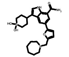 NC(=O)c1cc(-c2ccc(CN3CCCCCC3)o2)cc2c(C3CCS(O)(O)CC3)c[nH]c12